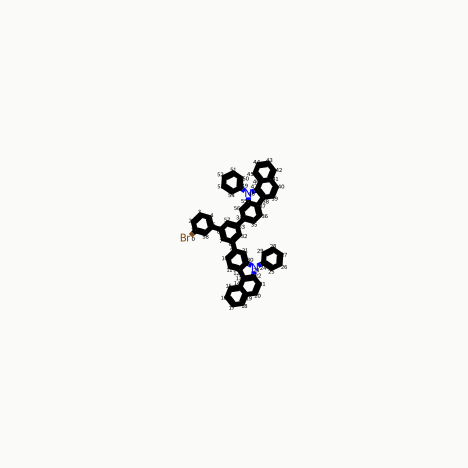 Brc1cccc(-c2cc(-c3ccc4c5c6ccccc6ccc5n(-c5ccccc5)c4c3)cc(-c3ccc4c5ccc6ccccc6c5n(-c5ccccc5)c4c3)c2)c1